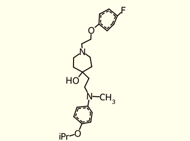 CC(C)Oc1ccc(N(C)CCC2(O)CCN(CCOc3ccc(F)cc3)CC2)cc1